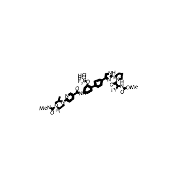 CNC(=O)N1CC(C)N(c2ccc(C(=O)Nc3ccc(-c4ccc(-c5c[nH]c([C@@H]6CCCN6C(=O)C(NC(=O)OC)C(C)C)n5)cc4)c(OC(F)(F)F)c3)cn2)C[C@@H]1C.Cl.Cl